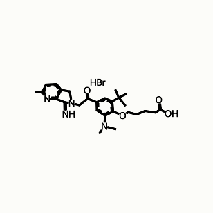 Br.Cc1ccc2c(n1)C(=N)N(CC(=O)c1cc(N(C)C)c(OCCCCC(=O)O)c(C(C)(C)C)c1)C2